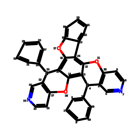 c1ccc(B2c3cnccc3Oc3c2c2c(c4oc5ccccc5c34)B(c3ccccc3)c3cnccc3O2)cc1